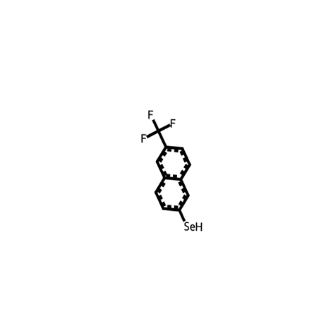 FC(F)(F)c1ccc2cc([SeH])ccc2c1